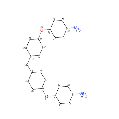 NC1CCC(OC2CCC(CC3CCC(OC4CCC(N)CC4)CC3)CC2)CC1